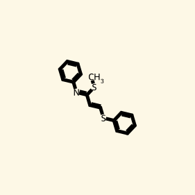 CSC(C=CSc1ccccc1)=Nc1ccccc1